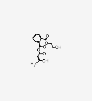 CC(O)=CC(=O)OC(=O)c1ccccc1C(=O)OCCO